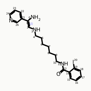 N/C(=C\NCCCCCCCNC(=O)c1ccccc1I)c1cccnc1